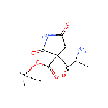 CC(N)C(=O)C1(C(=O)OC(C)(C)C)CC(=O)NC1=O